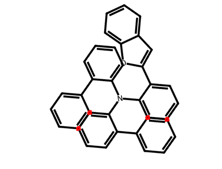 c1ccc(-c2ccccc2N(c2ccccc2-c2ccccc2)c2ccccc2-c2cc3ccccc3o2)cc1